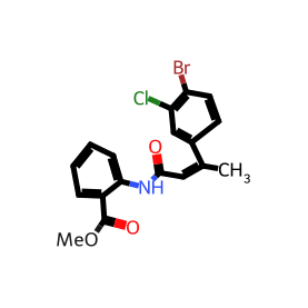 COC(=O)c1ccccc1NC(=O)/C=C(/C)c1ccc(Br)c(Cl)c1